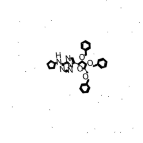 c1ccc(COC[C@H]2O[C@@H](c3cnc4c(NC5CCCC5)ncnn34)[C@H](OCc3ccccc3)[C@@H]2OCc2ccccc2)cc1